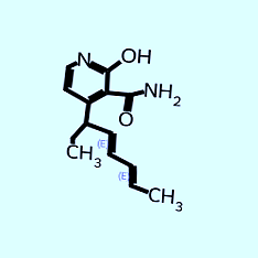 C/C=C/C=C/C(CC)c1ccnc(O)c1C(N)=O